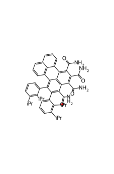 CC(C)c1cccc(-c2c(C(N)=O)c3c(C(N)=O)c(C(N)=O)c(C(N)=O)c4c5cccc6cccc(c(c2-c2cccc(C(C)C)c2C(C)C)c34)c65)c1C(C)C